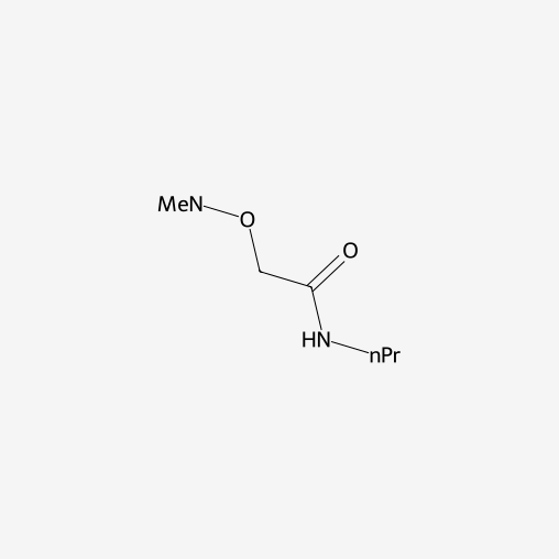 CCCNC(=O)CONC